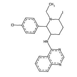 CCN1C(I)CCC(Nc2ncnc3ccccc23)C1c1ccc(Cl)cc1